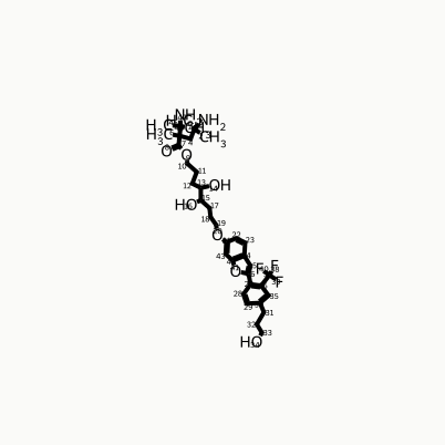 CC(C)(N)CC(C)(C(=O)OCCCC(O)C(O)CCCOc1ccc2cc(-c3ccc(CCCO)cc3C(F)(F)F)oc2c1)C(C)(C)N